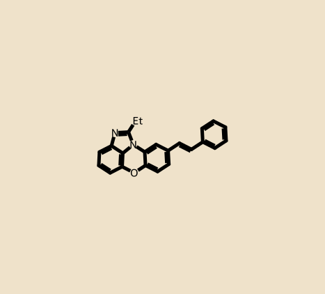 CCc1nc2cccc3c2n1-c1cc(/C=C/c2ccccc2)ccc1O3